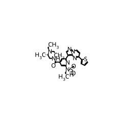 CCN(CC)[C@@H](C)CNC(=O)c1cc(-c2cnn3ccc(-c4cccs4)nc23)nc(N(CC)[SH](=O)=O)c1